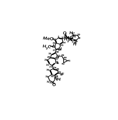 COc1cc(C(=O)N2C[C@H]3CC[C@@H]2[C@@H]3N)cc2nc(-c3cc4ccc(-c5cc(F)c6c(c5)CCC(=O)N6)nc4n3CC3CC3)n(C)c12